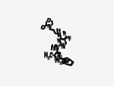 Cc1nn(C2CC3CCC(C2)N3C)cc1Nc1ncc(C(F)F)c(NCCCN2CCOCC2=O)n1